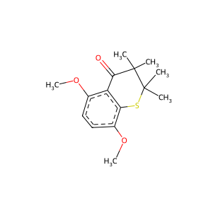 COc1ccc(OC)c2c1SC(C)(C)C(C)(C)C2=O